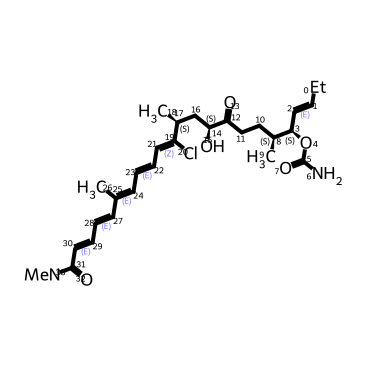 CC/C=C/[C@@H](OC(N)=O)[C@@H](C)CCC(=O)[C@@H](O)C[C@H](C)/C(Cl)=C/C=C/C=C(C)/C=C/C=C/C(=O)NC